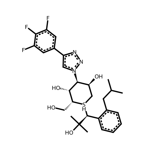 CC(C)Cc1ccccc1[C@H]([SH]1C[C@H](O)[C@H](n2cc(-c3cc(F)c(F)c(F)c3)nn2)[C@@H](O)[C@H]1CO)C(C)(C)O